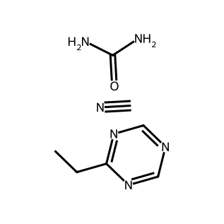 C#N.CCc1ncncn1.NC(N)=O